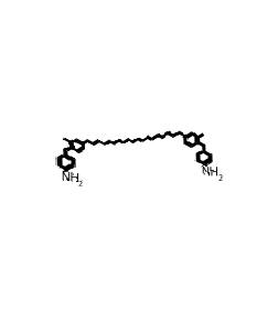 Cc1cc(CCCCCCCCCCCCCCCCCCCc2ccc(Cc3ccc(N)cc3)c(C)c2)ccc1Cc1ccc(N)cc1